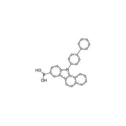 OB(O)c1ccc2c(c1)c1ccc3ccccc3c1n2-c1ccc(-c2ccccc2)cc1